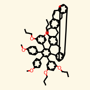 CCCOc1cc(OCCC)cc(-c2c(-c3ccc(OC)cc3)c(-c3ccc(OC)cc3)c(-c3cc(OCCC)cc(OCCC)c3)c3c2-c2cc4c5cc2Cc2cc6c(cc2-3)C=Cc2cc3c(cc2C6)Cc2cc(c(cc2C=C3)C=C4)C5)c1